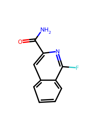 NC(=O)c1cc2ccccc2c(F)n1